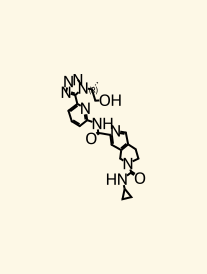 C[C@H](CO)n1nnnc1-c1cccc(NC(=O)c2cc3c(cn2)CCN(C(=O)NC2CC2)C3)n1